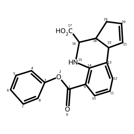 O=C(Oc1ccccc1)c1cccc2c1NC(C(=O)O)C1CC=CC21